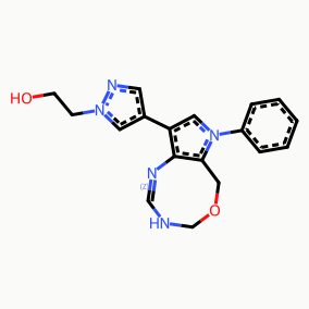 OCCn1cc(-c2cn(-c3ccccc3)c3c2/N=C\NCOC3)cn1